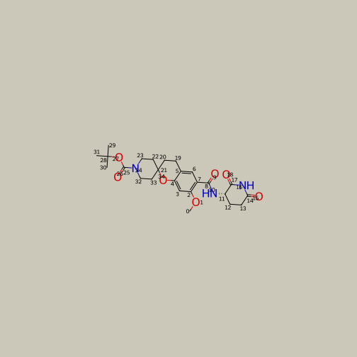 COc1cc2c(cc1C(=O)N[C@H]1CCC(=O)NC1=O)CCC1(CCN(C(=O)OC(C)(C)C)CC1)O2